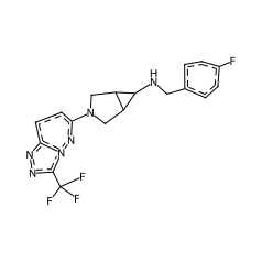 Fc1ccc(CNC2C3CN(c4ccc5nnc(C(F)(F)F)n5n4)CC32)cc1